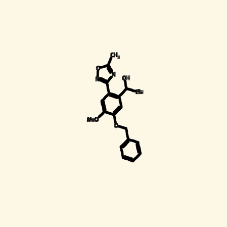 COc1cc(-c2noc(C)n2)c(C(O)C(C)(C)C)cc1OCc1ccccc1